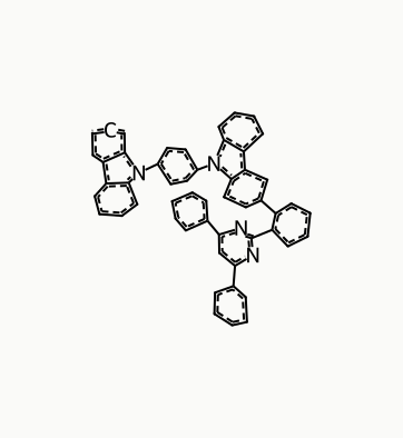 c1ccc(-c2cc(-c3ccccc3)nc(-c3ccccc3-c3ccc4c(c3)c3ccccc3n4-c3ccc(-n4c5ccccc5c5ccccc54)cc3)n2)cc1